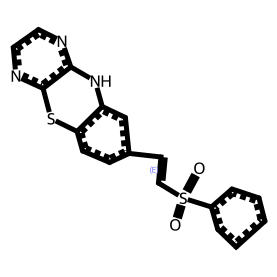 O=S(=O)(/C=C/c1ccc2c(c1)Nc1nccnc1S2)c1ccccc1